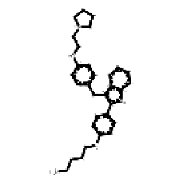 NCCCCOc1ccc(-c2sc3ccccc3c2Cc2ccc(OCCN3CCCC3)cc2)cc1